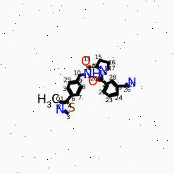 Cc1ncsc1-c1ccc(CNC(=O)[C@@H]2CCCN2C(=O)c2cccc(C#N)c2)cc1